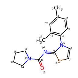 Cc1ccc(-n2ccsc2=NC(=O)N2CCCC2)c(C)c1